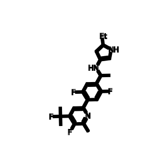 CCC1CC(NC(C)c2cc(F)c(-c3cc(C(C)(C)F)c(F)c(C)n3)cc2F)=CN1